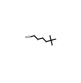 CC(C)(C)C[CH]CCC=O